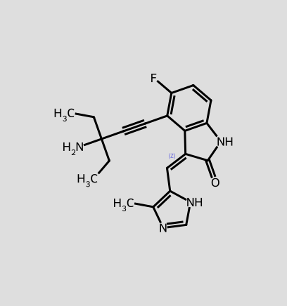 CCC(N)(C#Cc1c(F)ccc2c1/C(=C/c1[nH]cnc1C)C(=O)N2)CC